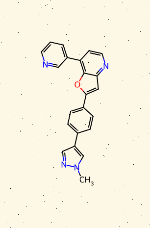 Cn1cc(-c2ccc(-c3cc4nccc(-c5cccnc5)c4o3)cc2)cn1